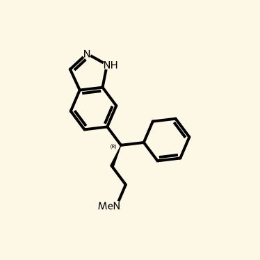 CNCC[C@@H](c1ccc2cn[nH]c2c1)C1C=CC=CC1